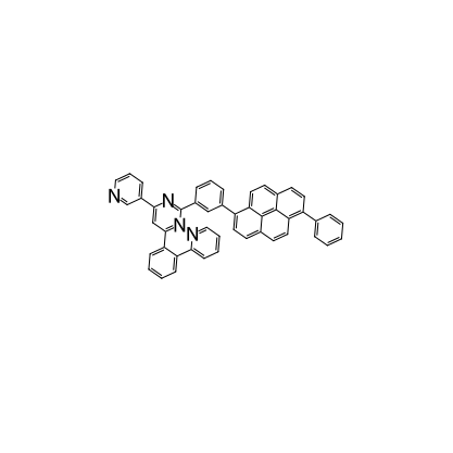 c1ccc(-c2ccc3ccc4c(-c5cccc(-c6nc(-c7cccnc7)cc(-c7ccccc7-c7ccccn7)n6)c5)ccc5ccc2c3c54)cc1